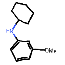 COc1cccc(NC2CCCCC2)c1